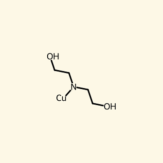 OCC[N]([Cu])CCO